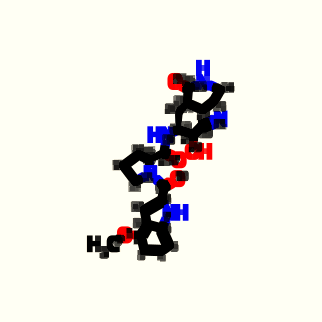 COc1cccc2[nH]c(C(=O)N3CCC[C@H]3C(=O)N[C@@H](C[C@@H]3CCCNC3=O)C(O)C#N)cc12